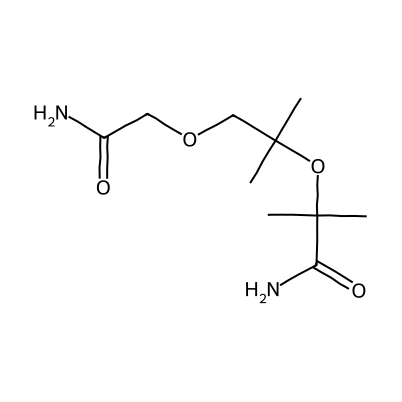 CC(C)(COCC(N)=O)OC(C)(C)C(N)=O